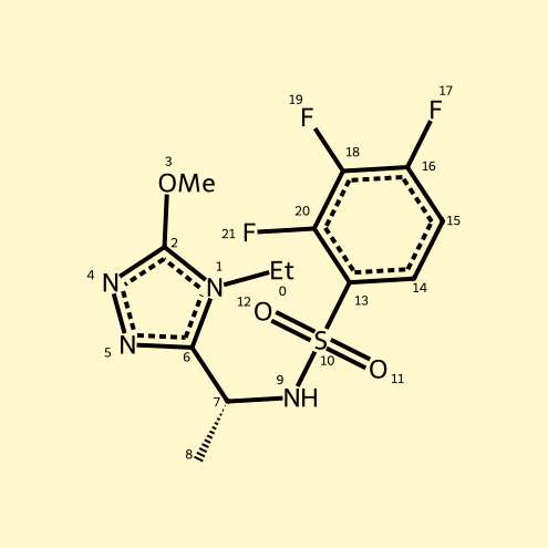 CCn1c(OC)nnc1[C@@H](C)NS(=O)(=O)c1ccc(F)c(F)c1F